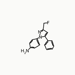 Nc1ccc(-n2nc(CF)cc2-c2ccccc2)cc1